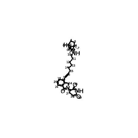 CC1(C)[C@@H]2CC[C@@]1(C)[C@@H](NCCCCCCC#Cc1cccc3c1CN(C1CCC(=O)NC1=O)C3=O)C2